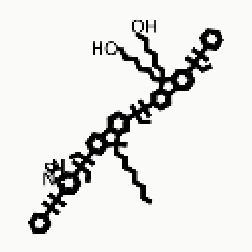 CCCCCCCCC1(C)c2cc(C(C)(CC)C(C)(C)c3ccc4c(c3)C(CCCCCCO)(CCCCCCO)c3cc(C(C)(CC)C(C)(C)c5ccccc5)ccc3-4)ccc2-c2ccc(C(C)(CC)C(C)(CC)c3ccc(C(C)(C)C(C)(C)c4ccccc4)c4nsnc34)cc21